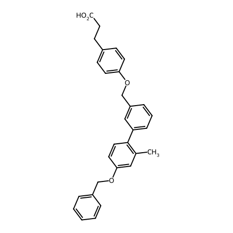 Cc1cc(OCc2ccccc2)ccc1-c1cccc(COc2ccc(CCC(=O)O)cc2)c1